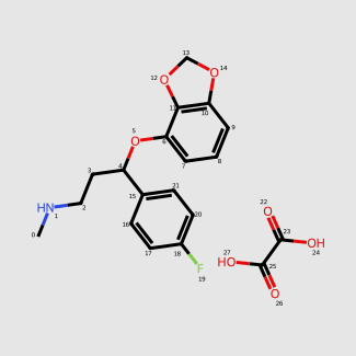 CNCCC(Oc1cccc2c1OCO2)c1ccc(F)cc1.O=C(O)C(=O)O